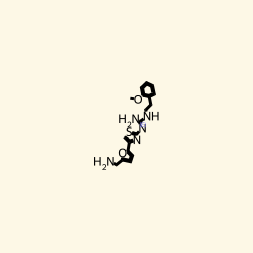 COc1ccccc1CCN/C(N)=N/c1nc(-c2ccc(CN)o2)cs1